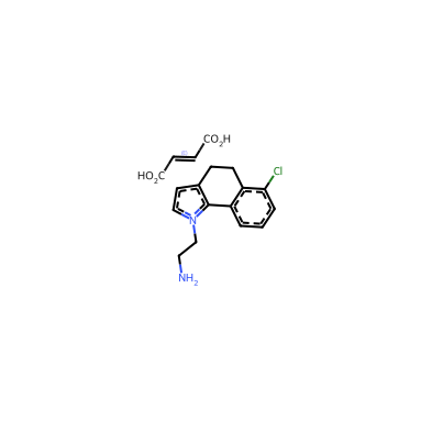 NCCn1ccc2c1-c1cccc(Cl)c1CC2.O=C(O)/C=C/C(=O)O